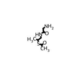 CC(=O)SC(C)CNC(=O)CN